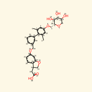 Cc1cc(OC[C@H]2OC[C@H](O)[C@@H](O)[C@@H]2O)cc(C)c1-c1cccc(COc2ccc3c(c2)OCC3CC(=O)O)c1